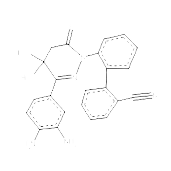 CC1(C)CC(=O)N(c2ccccc2-c2ccccc2C#N)N=C1c1ccc(N)c(N)c1